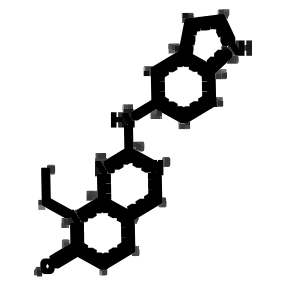 CCn1c(=O)ccc2cnc(Nc3ccc4[nH]ccc4c3)nc21